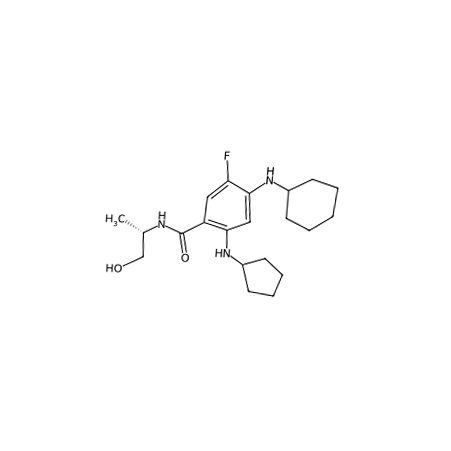 C[C@@H](CO)NC(=O)c1cc(F)c(NC2CCCCC2)cc1NC1CCCC1